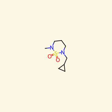 CN1CCCN(CC2CC2)S1(=O)=O